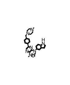 CNc1ncc(-c2ccc(CN3CCN(C)CC3)cc2)nc1N(C=O)c1ccc2[nH]ccc2c1